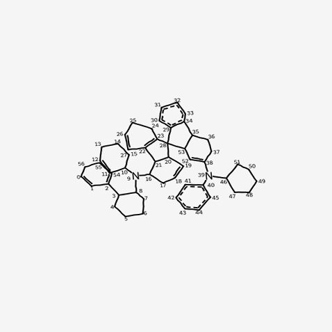 C1=CC(C2CCCCC2N(C2C=CCCC2)C2CC=CC3C2C2=C(CCC=C2)C32c3ccccc3C3CCC(N(c4ccccc4)C4CCCCC4)=CC32)=CCC1